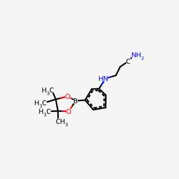 CC1(C)OB(c2cccc(NCCCN)c2)OC1(C)C